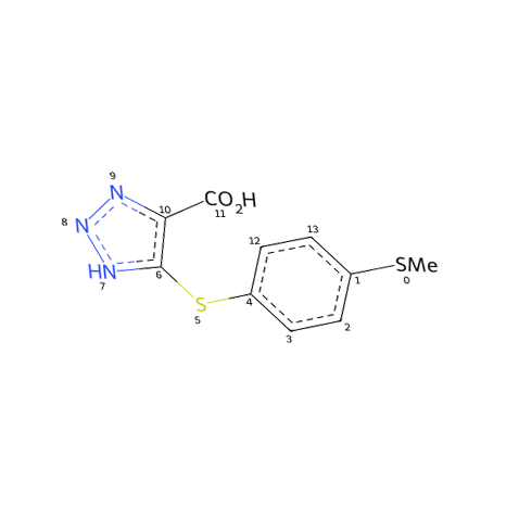 CSc1ccc(Sc2[nH]nnc2C(=O)O)cc1